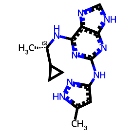 Cc1cc(Nc2nc(N[C@@H](C)C3CC3)c3nc[nH]c3n2)n[nH]1